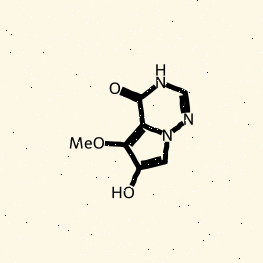 COc1c(O)cn2nc[nH]c(=O)c12